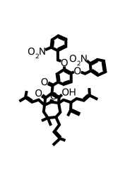 C=C(C)C(CC=C(C)C)CC12CC(CC=C(C)C)C(C)(C)CC(CC=C(C)C)(C(=O)C(C(=O)c3ccc(OCc4ccccc4[N+](=O)[O-])c(OCc4ccccc4[N+](=O)[O-])c3)=C1O)C2=O